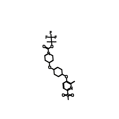 Cc1nc(S(C)(=O)=O)ccc1OC1CCC(OC2CCN(C(=O)OC(C)(C)C(F)(F)F)CC2)CC1